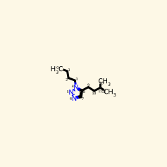 CCCCn1nncc1CCC(C)C